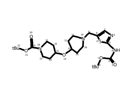 CC(C)(C)OC(=O)Nc1ncc(CN2CCC(OC3CCN(C(=O)OC(C)(C)C)CC3)CC2)s1